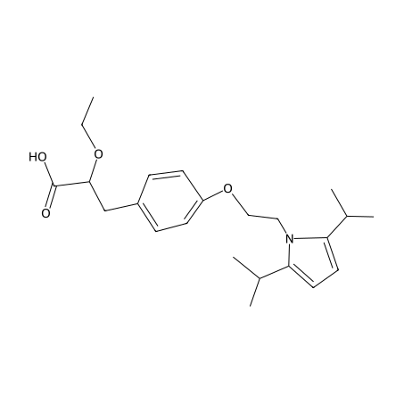 CCOC(Cc1ccc(OCCn2c(C(C)C)ccc2C(C)C)cc1)C(=O)O